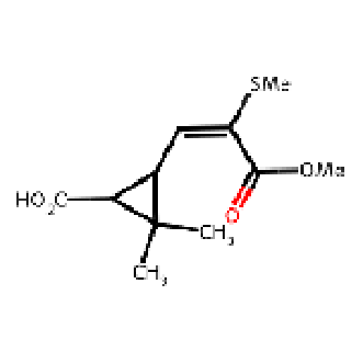 COC(=O)C(=CC1C(C(=O)O)C1(C)C)SC